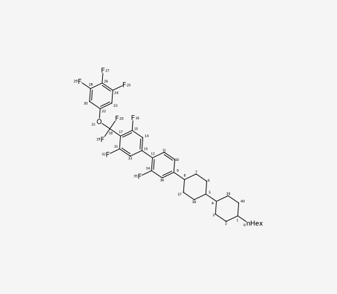 CCCCCCC1CCC(C2CCC(c3ccc(-c4cc(F)c(C(F)(F)Oc5cc(F)c(F)c(F)c5)c(F)c4)c(F)c3)CC2)CC1